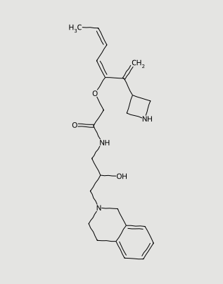 C=C(/C(=C\C=C/C)OCC(=O)NCC(O)CN1CCc2ccccc2C1)C1CNC1